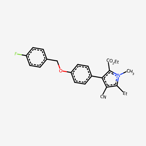 CCOC(=O)c1c(-c2ccc(OCc3ccc(F)cc3)cc2)c(C#N)c(CC)n1C